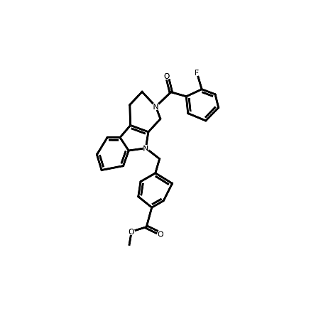 COC(=O)c1ccc(Cn2c3c(c4ccccc42)CCN(C(=O)c2ccccc2F)C3)cc1